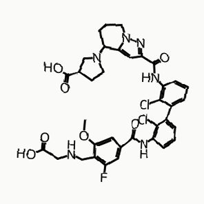 COc1cc(C(=O)Nc2cccc(-c3cccc(NC(=O)c4cc5n(n4)CCCC5N4CC[C@@H](C(=O)O)C4)c3Cl)c2Cl)cc(F)c1CNCC(=O)O